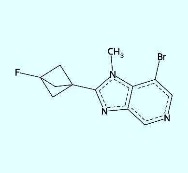 Cn1c(C23CC(F)(C2)C3)nc2cncc(Br)c21